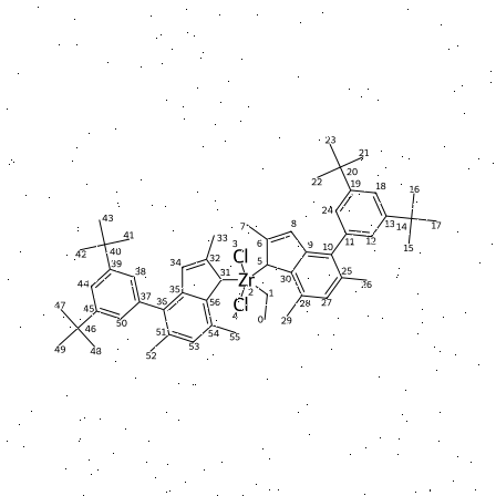 C[CH2][Zr]([Cl])([Cl])([CH]1C(C)=Cc2c(-c3cc(C(C)(C)C)cc(C(C)(C)C)c3)c(C)cc(C)c21)[CH]1C(C)=Cc2c(-c3cc(C(C)(C)C)cc(C(C)(C)C)c3)c(C)cc(C)c21